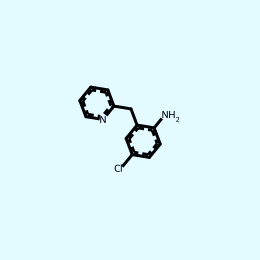 Nc1ccc(Cl)cc1Cc1ccccn1